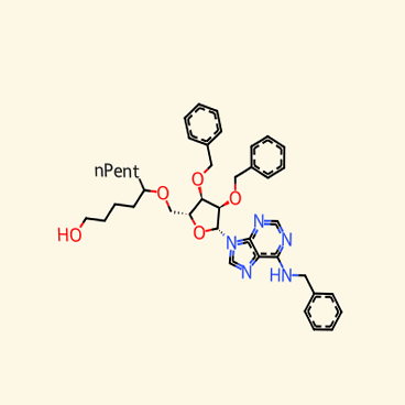 CCCCCC(CCCCO)OC[C@H]1O[C@@H](n2cnc3c(NCc4ccccc4)ncnc32)[C@H](OCc2ccccc2)[C@@H]1OCc1ccccc1